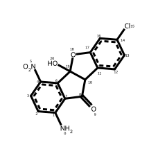 Nc1ccc([N+](=O)[O-])c2c1C(=O)C1c3ccc(Cl)cc3OC21O